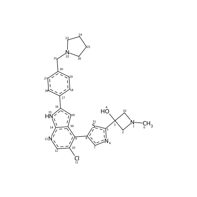 CN1CC(O)(c2ncc(-c3c(Cl)cnc4[nH]c(-c5ccc(CN6CCCC6)cc5)cc34)s2)C1